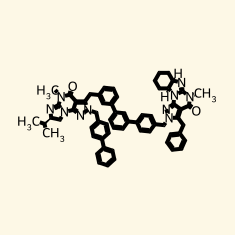 CC(C)[C@@H]1CN2C(=N1)N(C)C(=O)c1c2nn(Cc2ccc(-c3ccccc3)cc2)c1Cc1cccc(-c2cccc(-c3ccc(Cn4nc5c(c4Cc4ccccc4)C(=O)N(C)C4=N[C@@H]6CCCC[C@@H]6N45)cc3)c2)c1